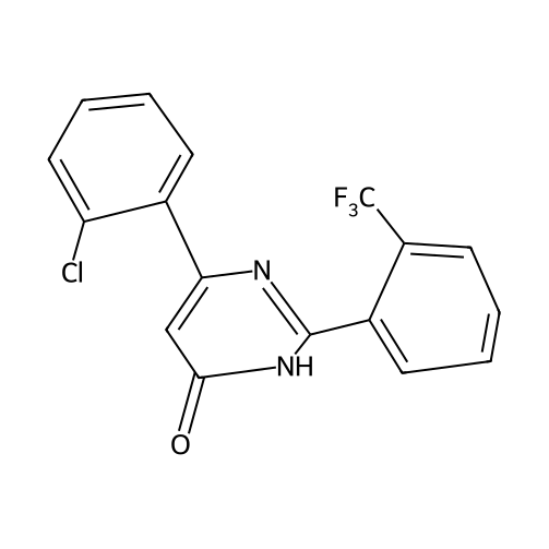 O=c1cc(-c2ccccc2Cl)nc(-c2ccccc2C(F)(F)F)[nH]1